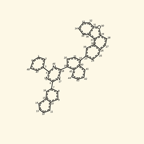 c1ccc(-c2nc(-c3ccc4ccccc4c3)nc(-c3ccc(-c4ccc5ccc6oc7ccccc7c6c5c4)c4ccccc34)n2)cc1